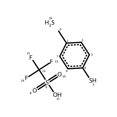 Cc1ccc(S)cc1.O=S(=O)(O)C(F)(F)F.S